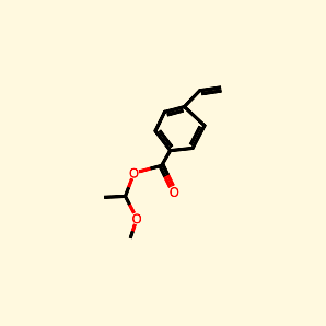 C=Cc1ccc(C(=O)OC(C)OC)cc1